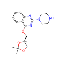 CC1(C)OC[C@H](COc2nc(N3CCNCC3)nc3ccccc23)O1